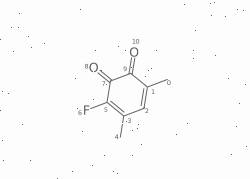 CC1=CC(C)=C(F)C(=O)C1=O